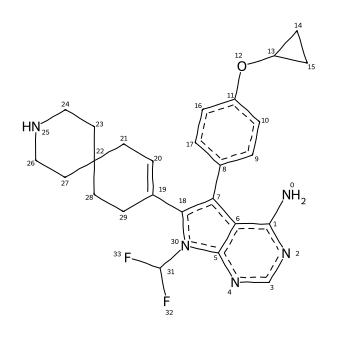 Nc1ncnc2c1c(-c1ccc(OC3CC3)cc1)c(C1=CCC3(CCNCC3)CC1)n2C(F)F